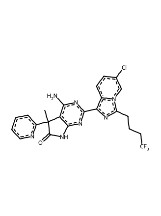 CC1(c2ccccn2)C(=O)Nc2nc(-c3nc(CCCC(F)(F)F)n4cc(Cl)ccc34)nc(N)c21